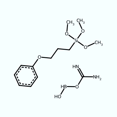 CO[Si](CCCOc1ccccc1)(OC)OC.N=C(N)OBO